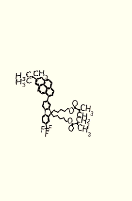 C=C(C)C(=O)OCCCCCC1(CCCCCOC(=O)C(=C)C)c2cc(-c3ccc4ccc5cc(C(C)(C)C)cc6ccc3c4c56)ccc2-c2ccc(C(F)(F)F)cc21